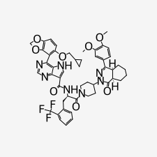 COc1ccc(C2=NN(C3CCN(C(=O)[C@@H](Cc4ccccc4C(F)(F)F)NC(=O)c4c[nH]c5c(-c6c(OCC7CC7)ccc7c6OCO7)ncnc45)CC3)C(=O)[C@@H]3CCCC[C@H]23)cc1OC